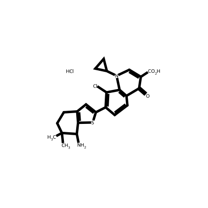 CC1(C)CCc2cc(-c3ccc4c(=O)c(C(=O)O)cn(C5CC5)c4c3Cl)sc2C1N.Cl